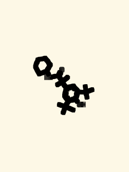 CC(C)(C)c1cc(C(C)(C)C(=O)NC2CCCCC2)cc(C(C)(C)C)c1O